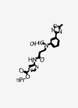 CCCOC(=O)n1cnc(NC(=O)CCN(C=O)c2cccc(-c3noc(C)n3)c2)c1